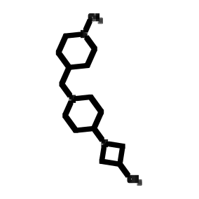 CC1CN(C2CCN(CC3CCN(C)CC3)CC2)C1